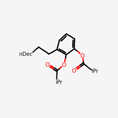 CCCCCCCCCCCCc1cccc(OC(=O)C(C)C)c1OC(=O)C(C)C